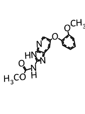 COC(=O)Nc1nc2cc(Oc3ccccc3OC)cnc2[nH]1